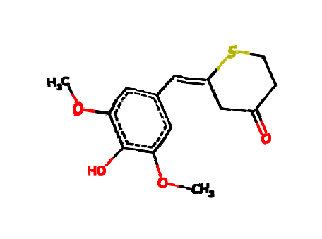 COc1cc(C=C2CC(=O)CCS2)cc(OC)c1O